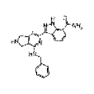 NC(=O)c1cccc2c(-c3nc4c(c(NCc5ccccc5)n3)CNC4)n[nH]c12